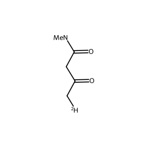 [2H]CC(=O)CC(=O)NC